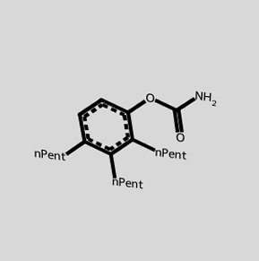 CCCCCc1ccc(OC(N)=O)c(CCCCC)c1CCCCC